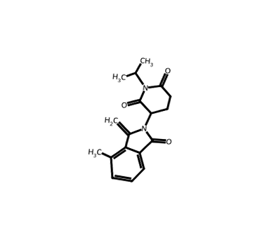 C=C1c2c(C)cccc2C(=O)N1C1CCC(=O)N(C(C)C)C1=O